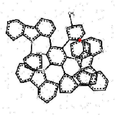 Cc1cccc(-c2c(-c3cccc4c5ccccc5n(-c5ccccc5)c34)c(C#N)c(-n3c4ccccc4c4ncccc43)c(-c3cccc4c5ccccc5n(-c5ccccc5)c34)c2-n2c3ccccc3c3ncccc32)n1